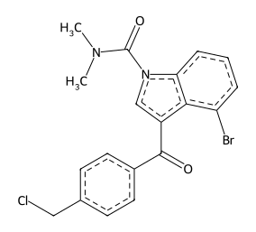 CN(C)C(=O)n1cc(C(=O)c2ccc(CCl)cc2)c2c(Br)cccc21